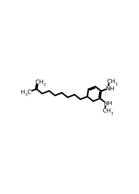 C=C(C)CCCCCCCC1C=CC(NC)=C(NC)C1